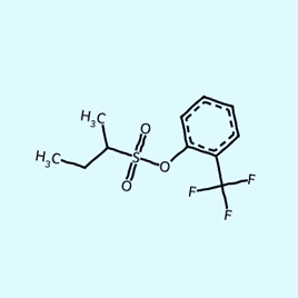 CCC(C)S(=O)(=O)Oc1ccccc1C(F)(F)F